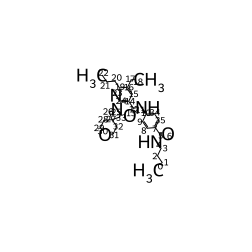 CCCCNC(=O)c1ccc(NC(=O)c2cc(CC)c(CCC)nc2N2CC3(CCOCC3)C2)cc1